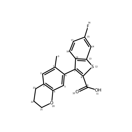 Cc1cc2c(cc1-c1c(C(=O)O)sc3cc(F)ccc13)OCCC2